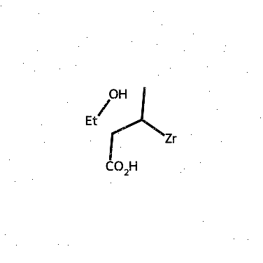 CCO.C[CH]([Zr])CC(=O)O